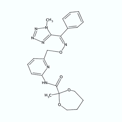 Cn1nnnc1/C(=N\OCc1cccc(NC(=O)C2(C)OCCCCO2)n1)c1ccccc1